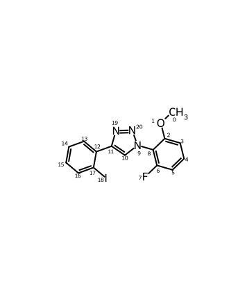 COc1cccc(F)c1-n1cc(-c2ccccc2I)nn1